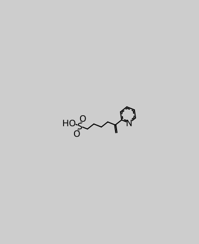 C=C(CCCCS(=O)(=O)O)c1ccccn1